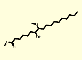 CCCCCCCCCCC(OC)C(O)CCCCCC(=O)OC